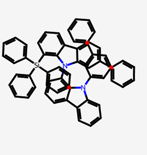 c1ccc(-c2cccc(-n3c4ccccc4c4cccc(-n5c6cc(-c7ccccc7)ccc6c6cccc([Si](c7ccccc7)(c7ccccc7)c7ccccc7)c65)c43)c2)cc1